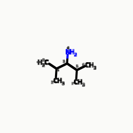 [CH2]C(C)C(N)C(C)C